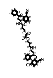 N#Cc1cc(F)c(Cl)cc1O[C@H](CCNCCCOC(=O)C(=O)OCCCNCC[C@@H](Oc1cc(Cl)c(F)cc1C#N)c1ccccc1)c1ccccc1